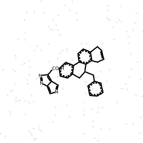 C1=CCc2c(ccc3c2C(Cc2ccccc2)Cc2ccccc2-3)C1.O=C(O)C1=C2C=NC=C2N=N1